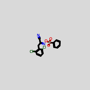 N#CC(Cc1c(Cl)cccc1Cl)=NOS(=O)(=O)c1ccccc1